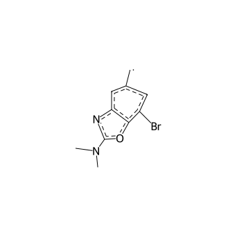 [CH2]c1cc(Br)c2oc(N(C)C)nc2c1